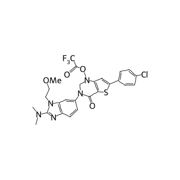 COCCn1c(N(C)C)nc2ccc(N3CN(OC(=O)C(F)(F)F)c4cc(-c5ccc(Cl)cc5)sc4C3=O)cc21